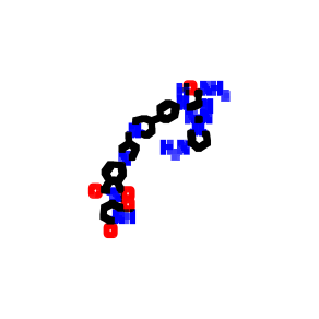 NC(=O)c1nnc(N2C=C(N)CCC2)nc1Nc1ccc(C2CCN(CC3CCN(c4ccc5c(c4)C(=O)N(C4CCC(=O)NC4=O)C5=O)C3)CC2)cc1